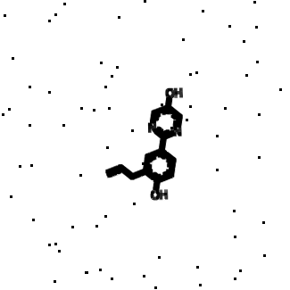 C=CCc1cc(-c2ncc(O)cn2)ccc1O